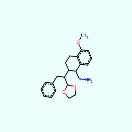 COc1cccc2c1CCC(C(Cc1ccccc1)C1OCCO1)C2CN